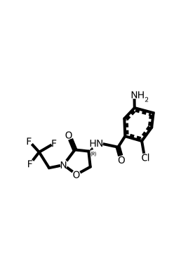 Nc1ccc(Cl)c(C(=O)N[C@@H]2CON(CC(F)(F)F)C2=O)c1